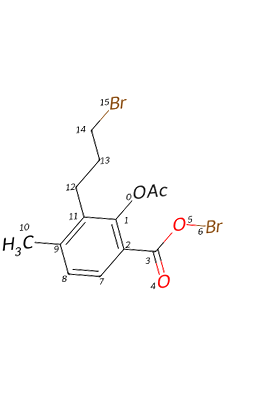 CC(=O)Oc1c(C(=O)OBr)ccc(C)c1CCCBr